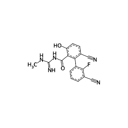 CNC(=N)NC(=O)c1c(O)ccc(C#N)c1-c1cccc(C#N)c1F